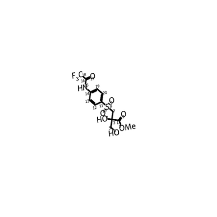 COC(=O)C(O)(CO)CS(=O)(=O)c1ccc(NC(=O)C(F)(F)F)cc1